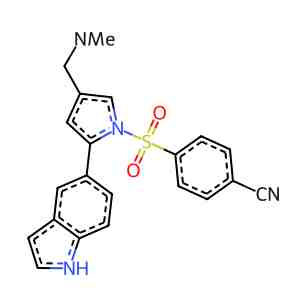 CNCc1cc(-c2ccc3[nH]ccc3c2)n(S(=O)(=O)c2ccc(C#N)cc2)c1